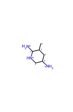 CC1CC(N)CNC1N